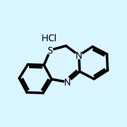 C1=CC2=Nc3ccccc3SCN2C=C1.Cl